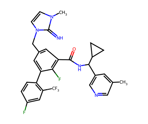 Cc1cncc(C(NC(=O)c2cc(Cn3ccn(C)c3=N)cc(-c3ccc(F)cc3C(F)(F)F)c2F)C2CC2)c1